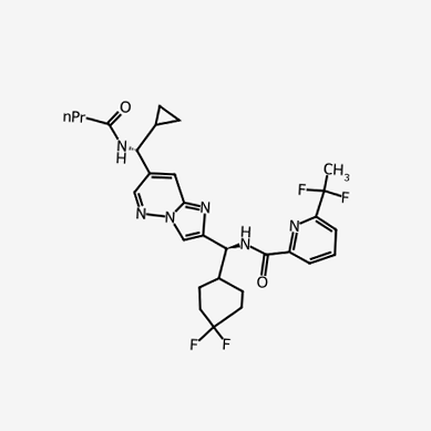 CCCC(=O)N[C@@H](c1cnn2cc([C@@H](NC(=O)c3cccc(C(C)(F)F)n3)C3CCC(F)(F)CC3)nc2c1)C1CC1